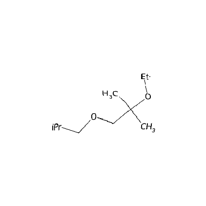 C[CH]OC(C)(C)COCC(C)C